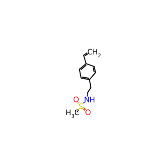 C=Cc1ccc(CCNS(C)(=O)=O)cc1